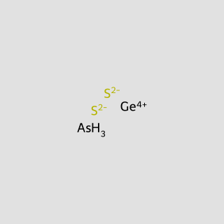 [AsH3].[Ge+4].[S-2].[S-2]